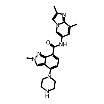 Cc1cn2cc(NC(=O)c3ccc(N4CCNCC4)c4cn(C)nc34)cc(C)c2n1